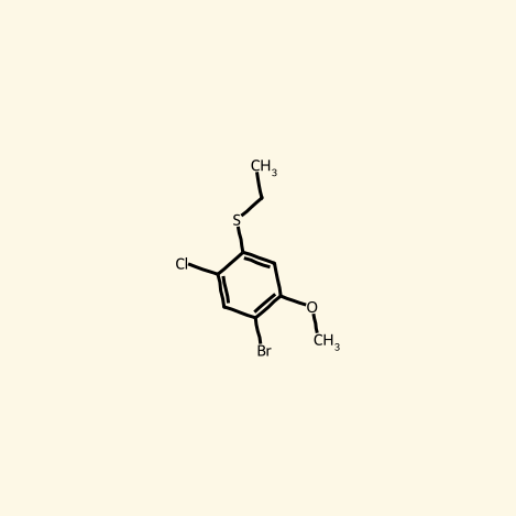 CCSc1cc(OC)c(Br)cc1Cl